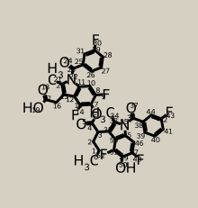 CCCC(C(=O)Oc1c(F)cc2c(c1F)c(CC(=O)O)c(C)n2C(=O)c1cccc(F)c1)c1c(C)n(C(=O)c2cccc(F)c2)c2cc(F)c(O)c(F)c12